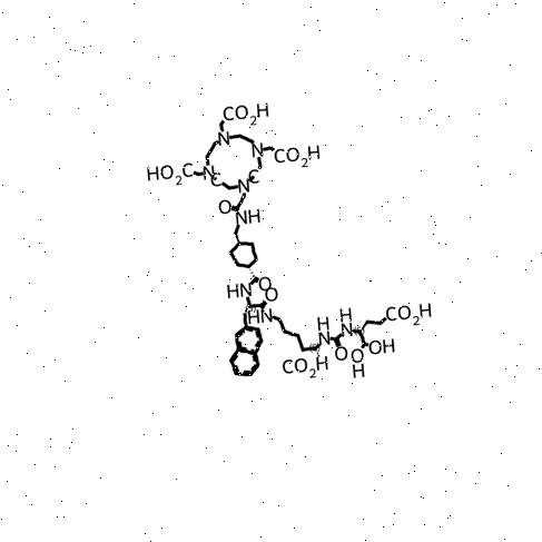 O=C(O)CC[C@H](NC(=O)N[C@@H](CCCCNC(=O)[C@H](Cc1ccc2ccccc2c1)NC(=O)[C@H]1CC[C@H](CNC(=O)CN2CCN(CC(=O)O)CCN(CC(=O)O)CCN(CC(=O)O)CC2)CC1)C(=O)O)C(O)O